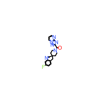 N#CC1(Cc2ccc(F)cc2)CCN(C(=O)c2nc3ncccn3n2)CC1